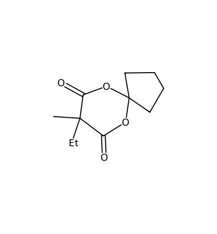 CCC1(C)C(=O)OC2(CCCC2)OC1=O